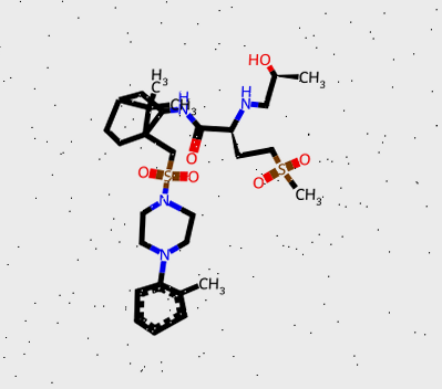 Cc1ccccc1N1CCN(S(=O)(=O)CC23CCC(CC2NC(=O)[C@H](CCS(C)(=O)=O)NC[C@H](C)O)C3(C)C)CC1